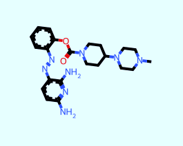 CN1CCN(C2CCN(C(=O)Oc3ccccc3/N=N/c3ccc(N)nc3N)CC2)CC1